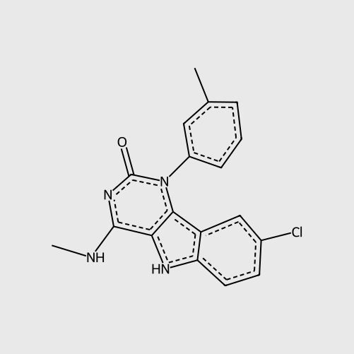 CNc1nc(=O)n(-c2cccc(C)c2)c2c1[nH]c1ccc(Cl)cc12